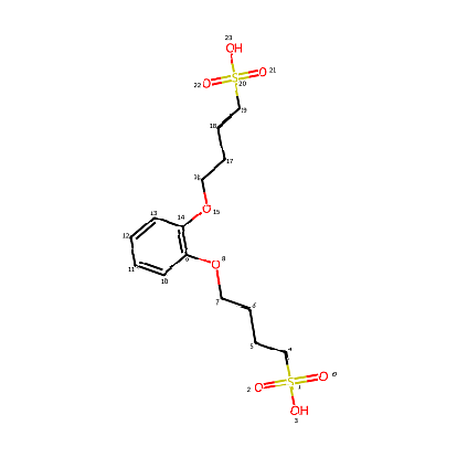 O=S(=O)(O)CCCCOc1[c]cccc1OCCCCS(=O)(=O)O